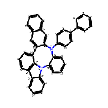 c1ccc(-c2ccc(-n3c4cc5ccccc5cc4c4cccc5c6ccccc6n(c6ccccc63)c45)cc2)cc1